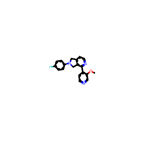 COc1cnccc1-c1nccc2c1CN(c1ccc(F)cc1)C2